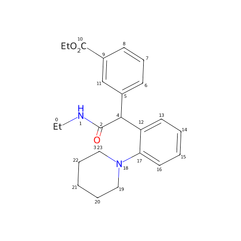 CCNC(=O)C(c1cccc(C(=O)OCC)c1)c1ccccc1N1CCCCC1